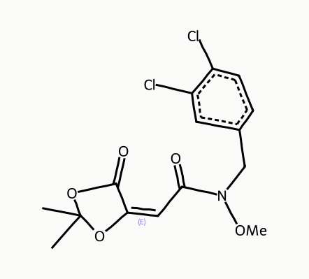 CON(Cc1ccc(Cl)c(Cl)c1)C(=O)/C=C1/OC(C)(C)OC1=O